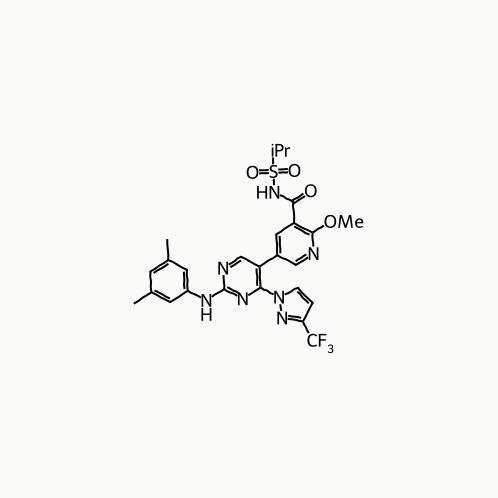 COc1ncc(-c2cnc(Nc3cc(C)cc(C)c3)nc2-n2ccc(C(F)(F)F)n2)cc1C(=O)NS(=O)(=O)C(C)C